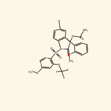 COc1ccc(S(=O)(=O)N2C(=O)C(OC(N)=O)(c3ccccc3OC)c3cc(Cl)ccc32)c(OC(F)(F)F)c1